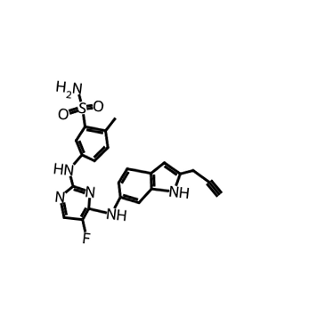 C#CCc1cc2ccc(Nc3nc(Nc4ccc(C)c(S(N)(=O)=O)c4)ncc3F)cc2[nH]1